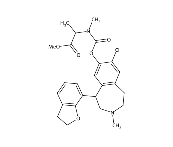 COC(=O)C(C)N(C)C(=O)Oc1cc2c(cc1Cl)CCN(C)CC2c1cccc2c1OCC2